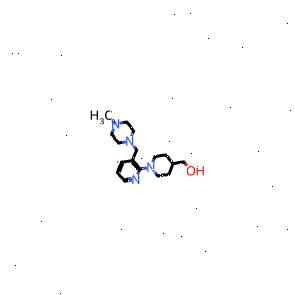 CN1CCN(Cc2[c]ccnc2N2CCC(CO)CC2)CC1